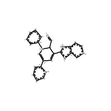 O=CC1C(c2nc3cnccc3[nH]2)=CC(c2ccccn2)=CN1c1ccccc1